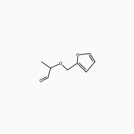 [CH2]C(C=O)OCc1ccco1